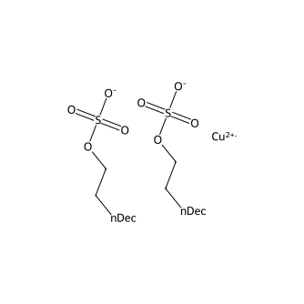 CCCCCCCCCCCCOS(=O)(=O)[O-].CCCCCCCCCCCCOS(=O)(=O)[O-].[Cu+2]